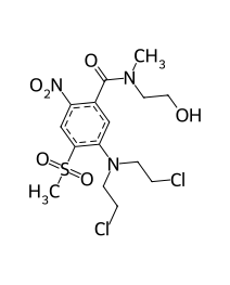 CN(CCO)C(=O)c1cc(N(CCCl)CCCl)c(S(C)(=O)=O)cc1[N+](=O)[O-]